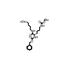 CCCCCCCCCCCCCCNC(=O)[C@@H](CCCCNC(=O)OC(C)(C)C)NC(=O)OCc1ccccc1